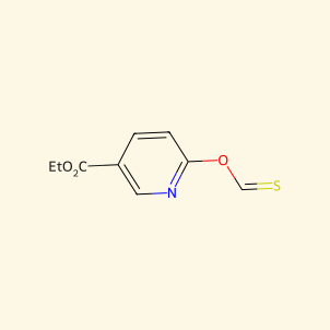 CCOC(=O)c1ccc(OC=S)nc1